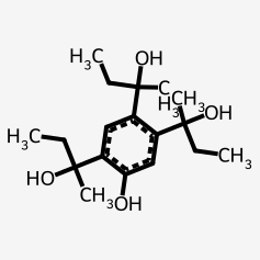 CCC(C)(O)c1cc(C(C)(O)CC)c(C(C)(O)CC)cc1O